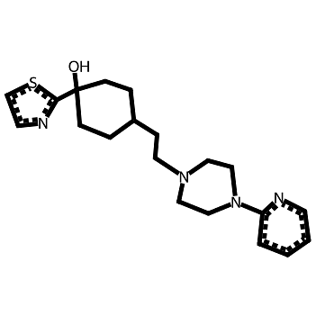 OC1(c2nccs2)CCC(CCN2CCN(c3ccccn3)CC2)CC1